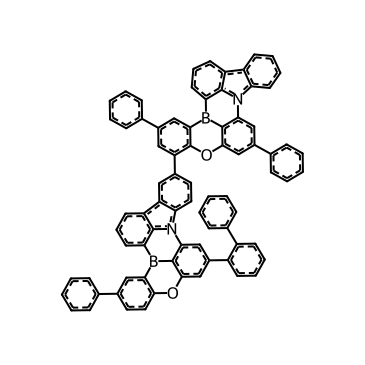 c1ccc(-c2ccc3c(c2)B2c4c(cc(-c5ccccc5-c5ccccc5)cc4-n4c5ccc(-c6cc(-c7ccccc7)cc7c6Oc6cc(-c8ccccc8)cc8c6B7c6cccc7c9ccccc9n-8c67)cc5c5cccc2c54)O3)cc1